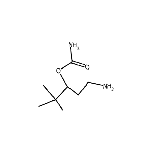 CC(C)(C)C(CCN)OC(N)=O